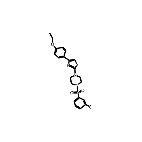 CCOc1ccc(-c2csc(N3CCN(S(=O)(=O)c4cccc(Cl)c4)CC3)n2)cc1